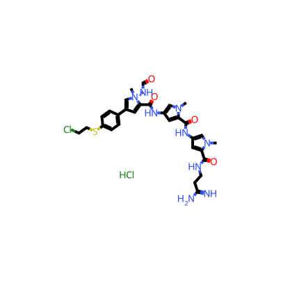 Cl.Cn1cc(NC(=O)c2cc(NC(=O)C3=CC(c4ccc(SCCCl)cc4)=C[N+]3(C)NC=O)cn2C)cc1C(=O)NCCC(=N)N